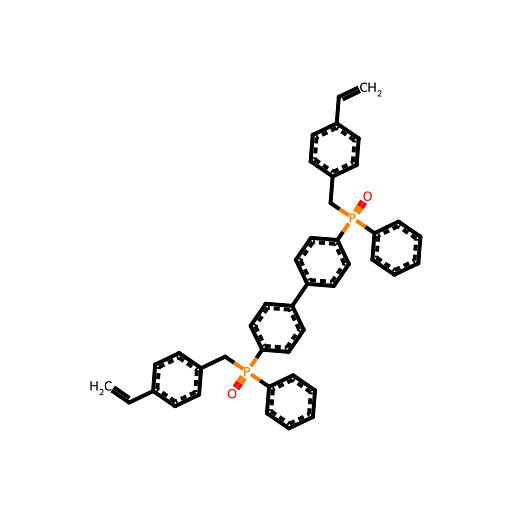 C=Cc1ccc(CP(=O)(c2ccccc2)c2ccc(-c3ccc(P(=O)(Cc4ccc(C=C)cc4)c4ccccc4)cc3)cc2)cc1